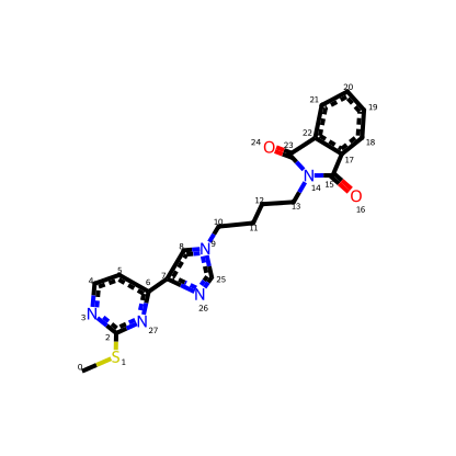 CSc1nccc(-c2cn(CCCCN3C(=O)c4ccccc4C3=O)cn2)n1